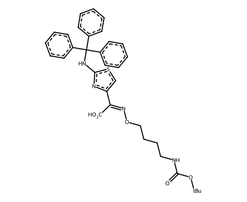 CC(C)(C)OC(=O)NCCCCO/N=C(\C(=O)O)c1csc(NC(c2ccccc2)(c2ccccc2)c2ccccc2)n1